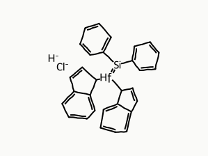 C1=C[CH]([Hf]([CH]2C=Cc3ccccc32)=[Si](c2ccccc2)c2ccccc2)c2ccccc21.[Cl-].[H-]